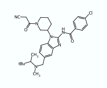 CC(N(C)Cc1ccc2c(c1)nc(NC(=O)c1ccc(Cl)cc1)n2C1CCCN(C(=O)CC#N)C1)C(C)(C)C